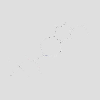 C[C@H]1CN(C(=O)OC(C)(C)C)CCc2cc(CBr)ccc21